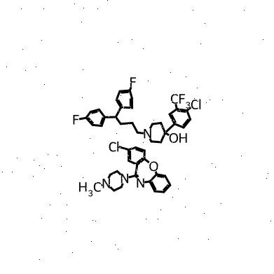 CN1CCN(C2=Nc3ccccc3Oc3ccc(Cl)cc32)CC1.OC1(c2ccc(Cl)c(C(F)(F)F)c2)CCN(CCCC(c2ccc(F)cc2)c2ccc(F)cc2)CC1